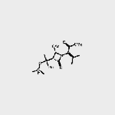 COC(=O)C(=C(C)C)N1C(=O)[C@H]([C@@](C)(O[SiH](C)C)C(C)(C)C)[C@H]1OC(C)=O